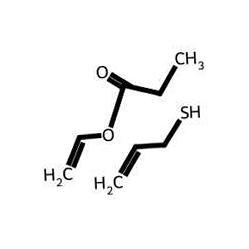 C=CCS.C=COC(=O)CC